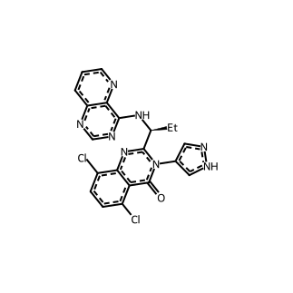 CC[C@H](Nc1ncnc2cccnc12)c1nc2c(Cl)ccc(Cl)c2c(=O)n1-c1cn[nH]c1